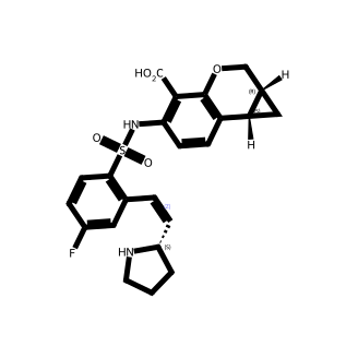 O=C(O)c1c(NS(=O)(=O)c2ccc(F)cc2/C=C\[C@@H]2CCCN2)ccc2c1OC[C@@H]1C[C@H]21